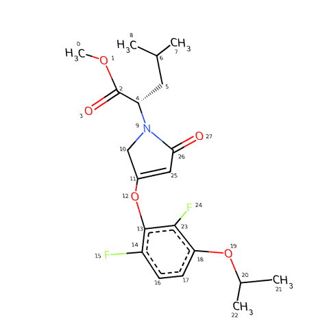 COC(=O)[C@H](CC(C)C)N1CC(Oc2c(F)ccc(OC(C)C)c2F)=CC1=O